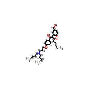 CCCCc1oc2ccc(C=O)cc2c1C(=O)c1ccc(OCCCN(CCCC)CCCC)cc1